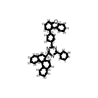 c1ccc(-c2nc(-c3ccc(-c4cccc5oc6ccccc6c45)cc3)nc(-c3cc4ccccc4c4c3ccc3ccccc34)n2)cc1